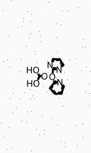 O=C(O)O.c1ccc(Oc2ncccn2)nc1